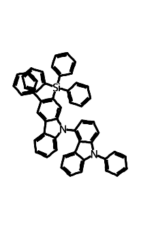 c1ccc(-c2cc3c4ccccc4n(-c4cccc5c4c4ccccc4n5-c4ccccc4)c3cc2[Si](c2ccccc2)(c2ccccc2)c2ccccc2)cc1